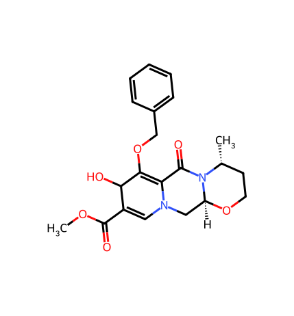 COC(=O)C1=CN2C[C@@H]3OCC[C@@H](C)N3C(=O)C2=C(OCc2ccccc2)C1O